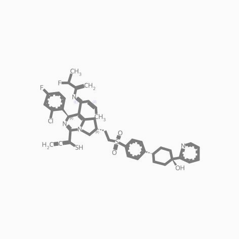 C=C=C(S)C1=N[C@@H](c2ccc(F)cc2Cl)C(C(/C=C\C)=N/C(=C)C(C)F)=C2C[C@H](CCS(=O)(=O)c3ccc([C@H]4CC[C@@](O)(c5ccccn5)CC4)cc3)CN12